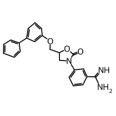 N=C(N)c1cccc(N2CC(COc3cccc(-c4ccccc4)c3)OC2=O)c1